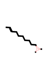 C/C=C/CCCCCCCB(C)C